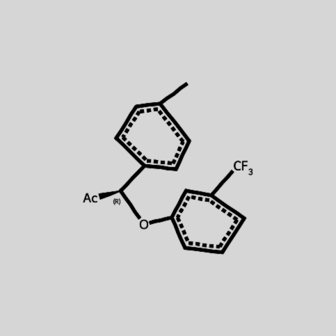 CC(=O)[C@H](Oc1cccc(C(F)(F)F)c1)c1ccc(C)cc1